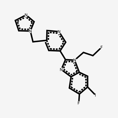 FCCn1c(-c2cncc(Cn3ccnc3)c2)nc2cc(F)c(I)cc21